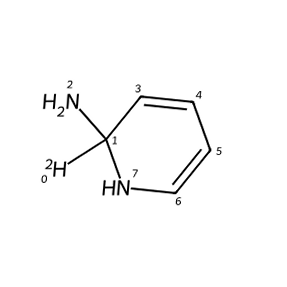 [2H]C1(N)C=CC=CN1